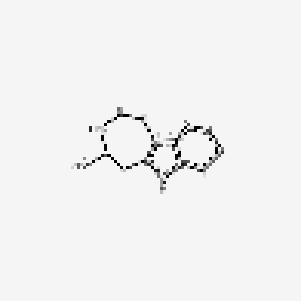 CCCC1Cc2[nH]c3ccccc3c2CCN1